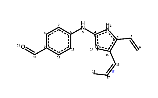 C=Cc1[nH]c(Nc2ccc(C=O)cc2)nc1/C=C\C